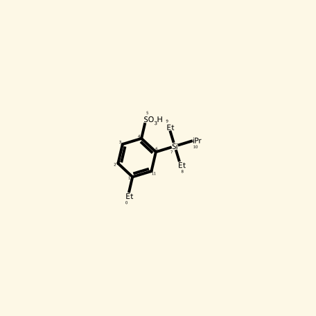 CCc1ccc(S(=O)(=O)O)c([Si](CC)(CC)C(C)C)c1